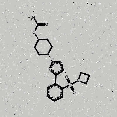 NC(=O)O[C@H]1CC[C@H](c2ncc(-c3ccccc3S(=O)(=O)N3CCC3)s2)CC1